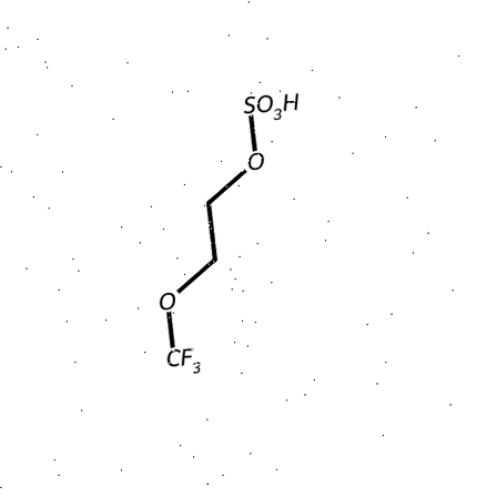 O=S(=O)(O)OCCOC(F)(F)F